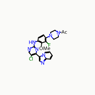 COc1c(Nc2ncc(Cl)c(-c3cnc4ccccn34)n2)ccc(N2CCN(C(C)=O)CC2)c1F